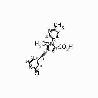 Cc1ccc(-n2c(C(=O)O)cc(C#Cc3ccnc(Cl)c3)c2C)cn1